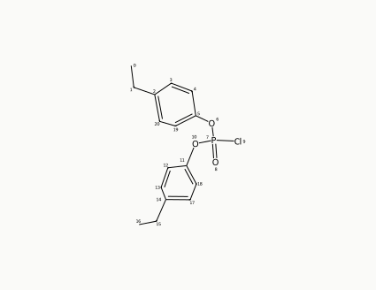 CCc1ccc(OP(=O)(Cl)Oc2ccc(CC)cc2)cc1